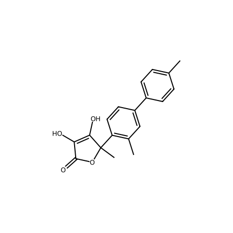 Cc1ccc(-c2ccc(C3(C)OC(=O)C(O)=C3O)c(C)c2)cc1